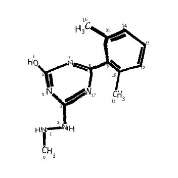 CNNc1nc(O)nc(-c2c(C)cccc2C)n1